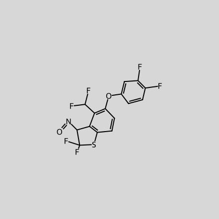 O=NC1c2c(ccc(Oc3ccc(F)c(F)c3)c2C(F)F)SC1(F)F